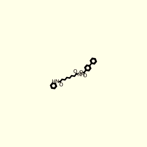 O=C(CCCCCCC(=O)Nc1ccccc1)NOC(=O)c1ccc(-c2ccccc2)cc1